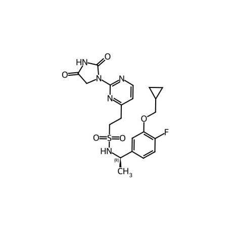 C[C@@H](NS(=O)(=O)CCc1ccnc(N2CC(=O)NC2=O)n1)c1ccc(F)c(OCC2CC2)c1